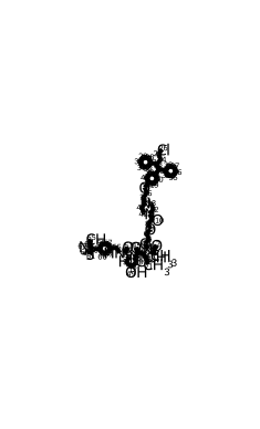 CC(=O)N(OCCOCC(=O)N1CCN(CCOc2ccc(/C(=C(/CCCl)c3ccccc3)c3ccccc3)cc2)CC1)[C@H](C(=O)N1C[C@H](O)C[C@H]1C(=O)NCc1ccc(-c2scnc2C)cc1)C(C)(C)C